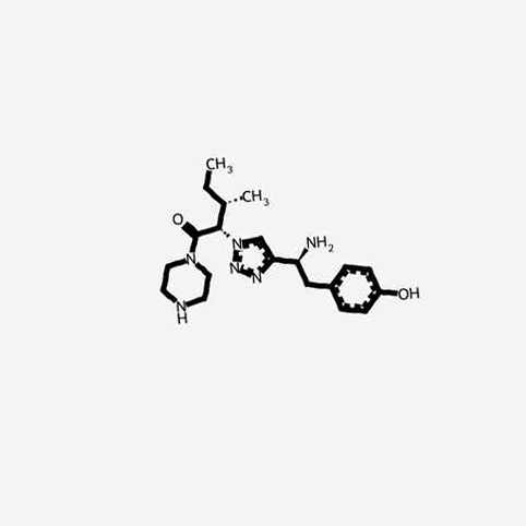 CC[C@H](C)[C@@H](C(=O)N1CCNCC1)n1cc([C@@H](N)Cc2ccc(O)cc2)nn1